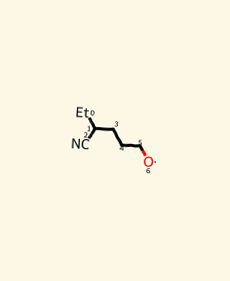 CCC(C#N)CCC[O]